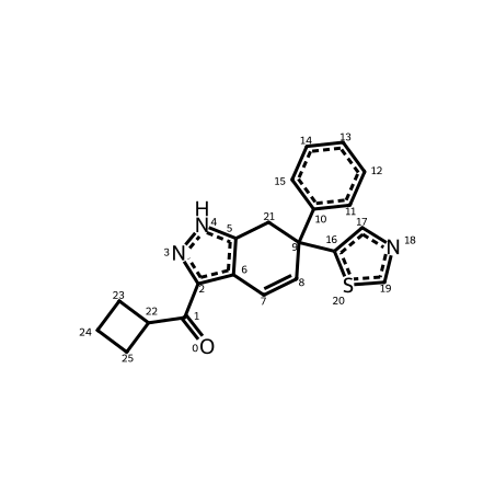 O=C(c1n[nH]c2c1C=CC(c1ccccc1)(c1cncs1)C2)C1CCC1